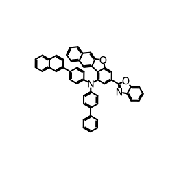 c1ccc(-c2ccc(N(c3ccc(-c4ccc5ccccc5c4)cc3)c3cc(-c4nc5ccccc5o4)cc4oc5cc6ccccc6cc5c34)cc2)cc1